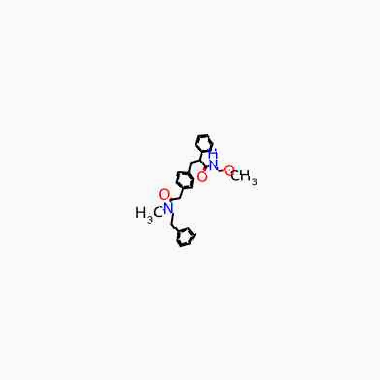 COCNC(=O)C(Cc1ccc(CC(=O)N(C)CCc2ccccc2)cc1)c1ccccc1